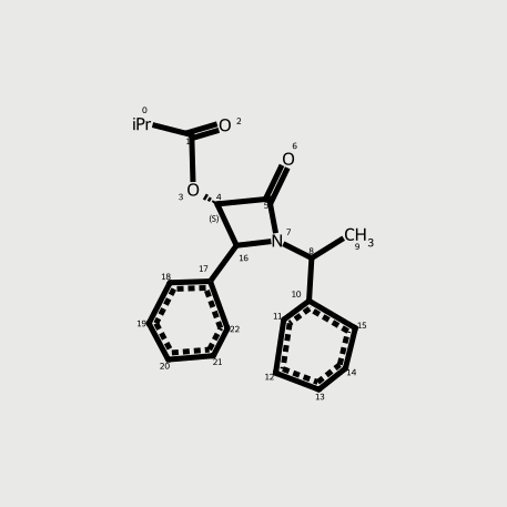 CC(C)C(=O)O[C@@H]1C(=O)N(C(C)c2ccccc2)C1c1ccccc1